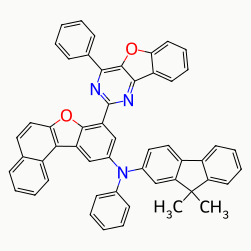 CC1(C)c2ccccc2-c2ccc(N(c3ccccc3)c3cc(-c4nc(-c5ccccc5)c5oc6ccccc6c5n4)c4oc5ccc6ccccc6c5c4c3)cc21